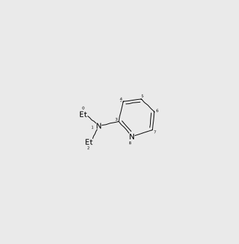 CCN(CC)c1[c]cccn1